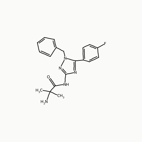 CC(C)(N)C(=O)Nc1nc(-c2ccc(F)cc2)n(Cc2ccccc2)n1